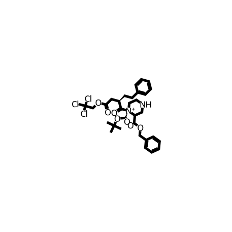 CC(C)(C)OC(=O)[N@@+]1(C(=O)[C@H](CCc2ccccc2)CC(=O)OCC(Cl)(Cl)Cl)CCNCC1C(=O)OCc1ccccc1